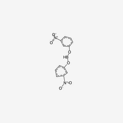 O=[N+]([O-])c1cccc(OBOc2cccc([N+](=O)[O-])c2)c1